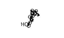 CO[C@@H]1[C@H](OC(=O)N2CC[C@H](OCC(=O)O)C2)CC[C@]2(CO2)[C@H]1[C@@]1(C)OC1CC=C(C)C